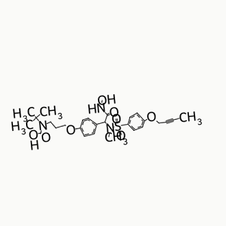 CC#CCOc1ccc(S(=O)(=O)N(C)C(C(=O)NO)c2ccc(OCCCN(C(=O)O)C(C)(C)C)cc2)cc1